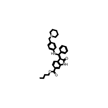 CCCCOC(=O)c1ccc2c(c1)NC(=O)C2=C(Nc1ccc(CN2CCCCC2)cc1)c1ccccc1